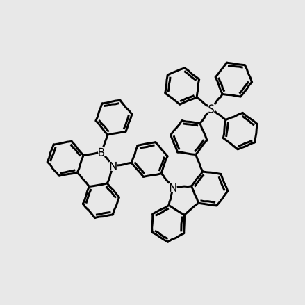 c1ccc(B2c3ccccc3-c3ccccc3N2c2cccc(-n3c4ccccc4c4cccc(-c5cccc(S(c6ccccc6)(c6ccccc6)c6ccccc6)c5)c43)c2)cc1